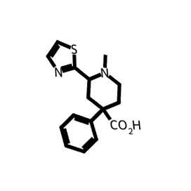 CN1CCC(C(=O)O)(c2ccccc2)CC1c1nccs1